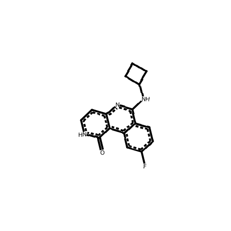 O=c1[nH]ccc2nc(NC3CCC3)c3ccc(F)cc3c12